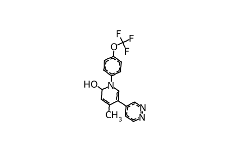 CC1=CC(O)N(c2ccc(OC(F)(F)F)cc2)C=C1c1ccnnc1